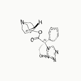 O=C(O[C@H]1CN2CCC1CC2)[C@@](CO)(c1ccccc1)n1cnnn1